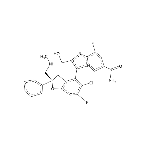 CNC[C@@]1(c2ccccc2)Cc2c(cc(F)c(Cl)c2-c2c(CO)nc3c(F)cc(C(N)=O)cn23)O1